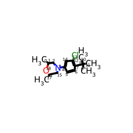 CC1CN(c2ccc(C(C)(C)C)c(Cl)c2)CC(C)O1